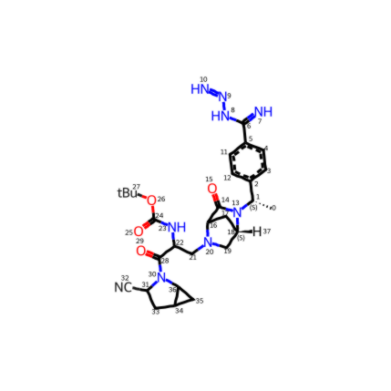 C[C@@H](c1ccc(C(=N)NN=N)cc1)N1C(=O)C2C[C@H]1CN2CC(NC(=O)OC(C)(C)C)C(=O)N1C(C#N)CC2CC21